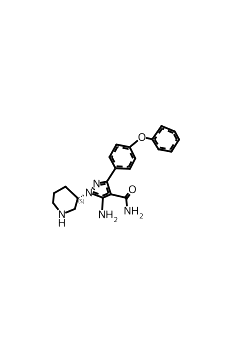 NC(=O)c1c(-c2ccc(Oc3ccccc3)cc2)nn([C@H]2CCCNC2)c1N